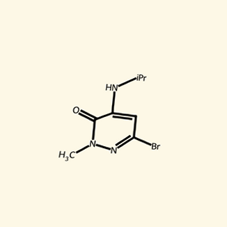 CC(C)Nc1cc(Br)nn(C)c1=O